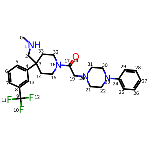 CNCC1(c2cccc(C(F)(F)F)c2)CCN(C(=O)CN2CCN(c3ccccc3)CC2)CC1